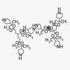 CC(C)(OC(=O)CCC(CCC(=O)OC(C)(C)C1CCNCC1)C(O)OC(C)(C)C1CCN(C2CC(C(C)(C)OC(=O)CC(O)(CC(=O)OC(C)(C)C3CCNCC3)C(=O)OC(C)(C)C3CCNCC3)CCN2)CC1)C1CCNCC1